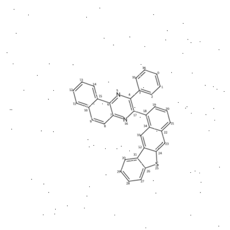 c1ccc(-c2nc3c(ccc4ccccc43)nc2-c2cccc3cc4sc5ccccc5c4cc23)cc1